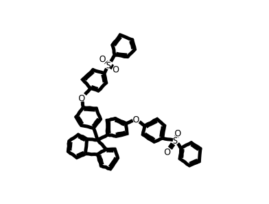 O=S(=O)(c1ccccc1)c1ccc(Oc2ccc(C3(c4ccc(Oc5ccc(S(=O)(=O)c6ccccc6)cc5)cc4)c4ccccc4-c4ccccc43)cc2)cc1